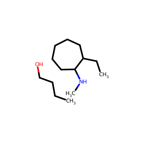 CCC1CCCCCC1NC.CCCCO